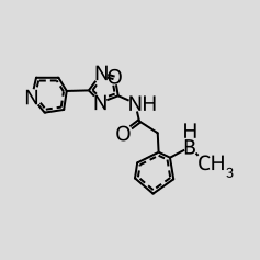 CBc1ccccc1CC(=O)Nc1nc(-c2ccncc2)no1